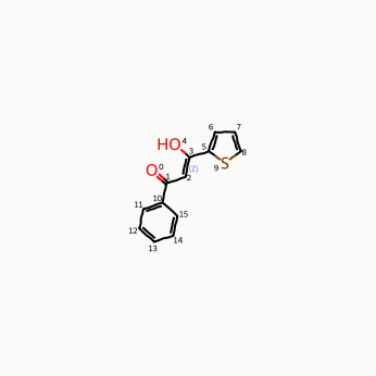 O=C(/C=C(\O)c1cccs1)c1ccccc1